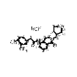 Cl.O=C(Cc1ccc(Cl)c(C(F)(F)F)c1)Nc1cccc2c(=O)n(CC3CCNCC3)ccc12